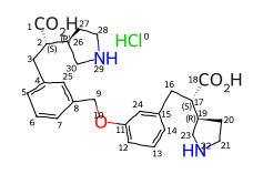 Cl.O=C(O)[C@@H](Cc1cccc(COc2cccc(C[C@H](C(=O)O)[C@H]3CCNC3)c2)c1)[C@H]1CCNC1